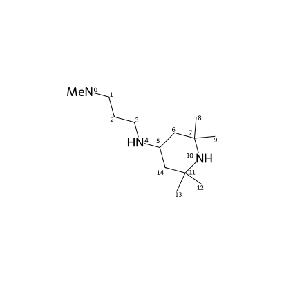 CNCCCNC1CC(C)(C)NC(C)(C)C1